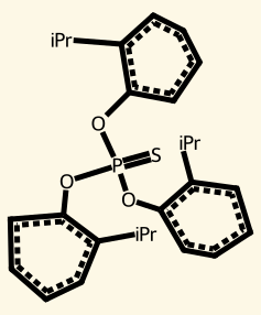 CC(C)c1ccccc1OP(=S)(Oc1ccccc1C(C)C)Oc1ccccc1C(C)C